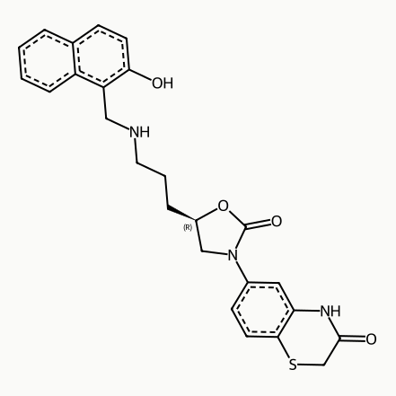 O=C1CSc2ccc(N3C[C@@H](CCCNCc4c(O)ccc5ccccc45)OC3=O)cc2N1